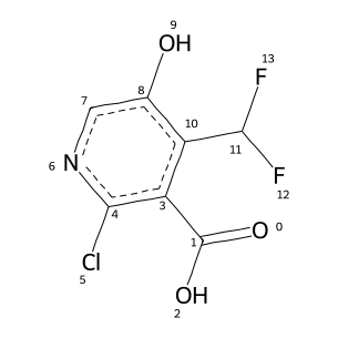 O=C(O)c1c(Cl)ncc(O)c1C(F)F